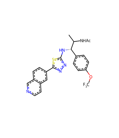 CC(=O)NC(C)[C@@H](Nc1nnc(-c2ccc3cnccc3c2)s1)c1ccc(OC(F)(F)F)cc1